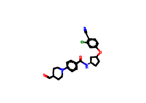 N#Cc1ccc(O[C@H]2CC[C@H](NC(=O)c3ccc(N4CCC(C=O)CC4)cc3)C2)cc1Cl